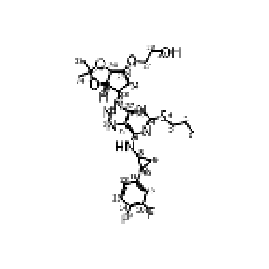 CCCSc1nc(NC2C[C@H]2c2ccc(F)c(F)c2)c2nnn(C3C[C@H](OCCO)C4OC(C)(C)O[C@H]43)c2n1